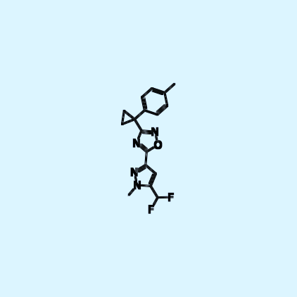 Cc1ccc(C2(c3noc(-c4cc(C(F)F)n(C)n4)n3)CC2)cc1